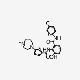 CN1CCCN(c2ccc(C(=O)Nc3c(O)cccc3C(=O)Nc3ccc(Cl)cn3)s2)CC1